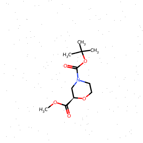 COC(=O)[C@H]1CN(C(=O)OC(C)(C)C)CCO1